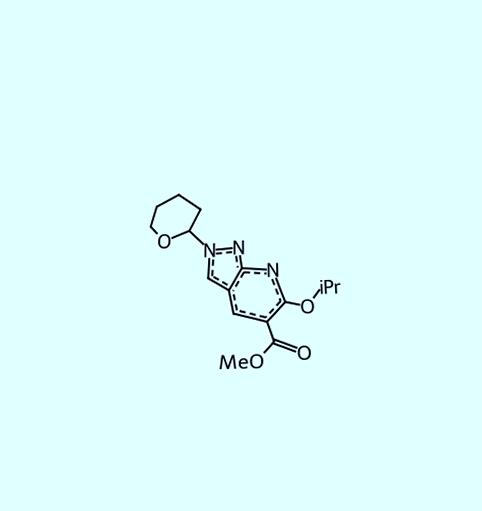 COC(=O)c1cc2cn(C3CCCCO3)nc2nc1OC(C)C